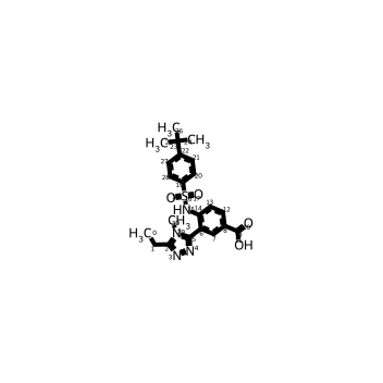 CCc1nnc(-c2cc(C(=O)O)ccc2NS(=O)(=O)c2ccc(C(C)(C)C)cc2)n1C